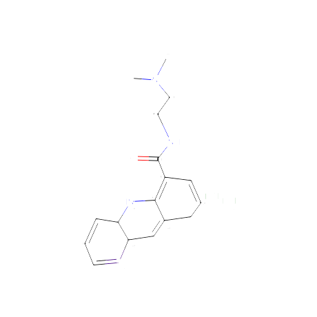 CCN(CC)CCNC(=O)C1=C2NC3C=CC=IC3C=C2CC=C1.Cl.Cl